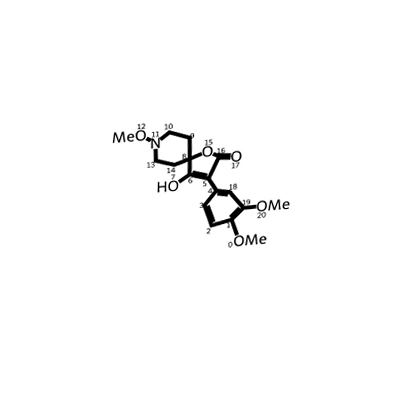 COc1ccc(C2=C(O)C3(CCN(OC)CC3)OC2=O)cc1OC